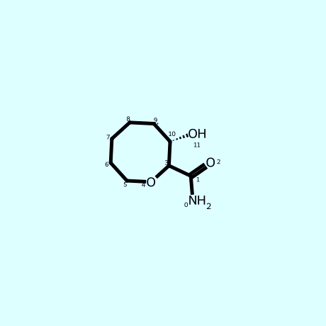 NC(=O)C1OCCCC[CH][C@@H]1O